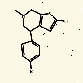 CN1Cc2sc(Cl)cc2C(c2ccc(Br)cc2)C1